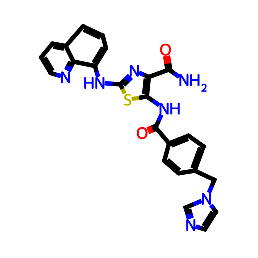 NC(=O)c1nc(Nc2cccc3cccnc23)sc1NC(=O)c1ccc(Cn2ccnc2)cc1